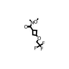 CON(C)C(=O)C1CC(OCC(F)(F)F)C1